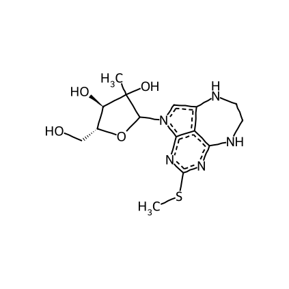 CSc1nc2c3c(cn(C4O[C@H](CO)[C@@H](O)C4(C)O)c3n1)NCCN2